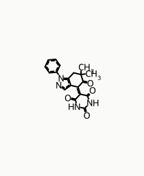 CC1(C)Cc2c(cnn2-c2ccccc2)C(=C2C(=O)NC(=O)NC2=O)C1=O